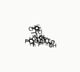 CC(CN(Cc1cc(F)cc(F)c1)C(=O)c1cnn(C2CCC(C(=O)O)CC2)c1C(F)(F)F)c1c(Cl)cccc1Cl